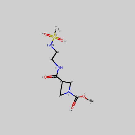 CC(C)(C)OC(=O)N1CC(C(=O)NCCNS(C)(=O)=O)C1